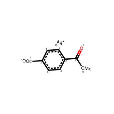 COC(=O)c1ccc(C(=O)[O-])cc1.[Ag+]